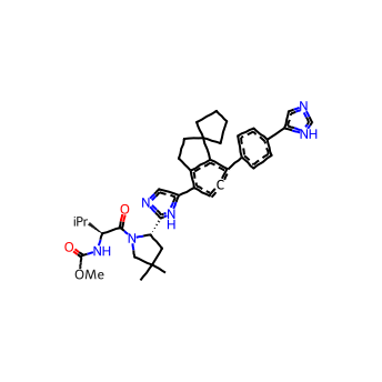 COC(=O)N[C@H](C(=O)N1CC(C)(C)C[C@H]1c1ncc(-c2ccc(-c3ccc(-c4cnc[nH]4)cc3)c3c2CCC32CCCC2)[nH]1)C(C)C